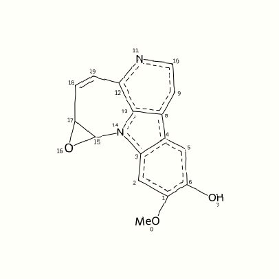 COc1cc2c(cc1O)c1ccnc3c1n2C1OC1C=C3